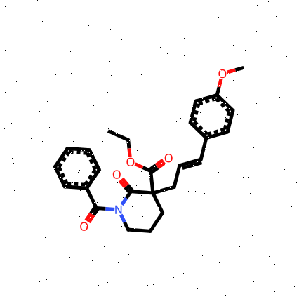 CCOC(=O)C1(CC=Cc2ccc(OC)cc2)CCCN(C(=O)c2ccccc2)C1=O